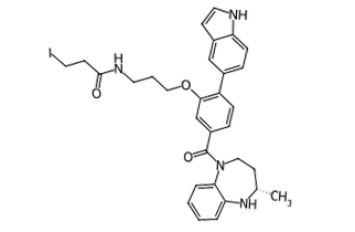 C[C@H]1CCN(C(=O)c2ccc(-c3ccc4[nH]ccc4c3)c(OCCCNC(=O)CCI)c2)c2ccccc2N1